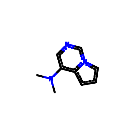 CN(C)c1cncn2cccc12